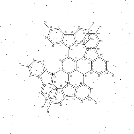 Cc1ccc2c(c1)c1cc(C)ccc1n2-c1cc(-n2c3ccc(C)cc3c3cc(C)ccc32)c2c3c1-n1c4ccc(C)cc4c4cc(C)cc(c41)C3c1cc(C)cc3c4cc(C)ccc4n-2c13